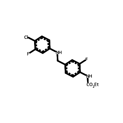 CCOC(=O)Nc1ccc(CNc2ccc(Cl)c(F)c2)cc1F